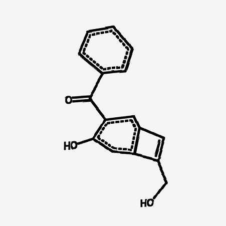 O=C(c1ccccc1)c1cc2c(cc1O)C(CO)=C2